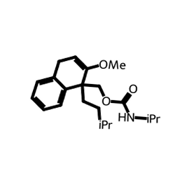 COC1=CCc2ccccc2C1(CCC(C)C)COC(=O)NC(C)C